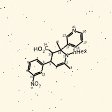 CCCCCCN1C(C)=CC(c2cccc([N+](=O)[O-])c2)C(C(=O)O)C1(C)c1cccnc1